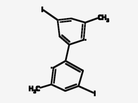 Cc1[c]c(-c2[c]c(C)cc(I)c2)cc(I)c1